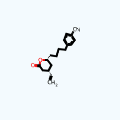 C=C[C@@H]1CC(=O)O[C@H](CCCCc2ccc(C#N)cc2)C1